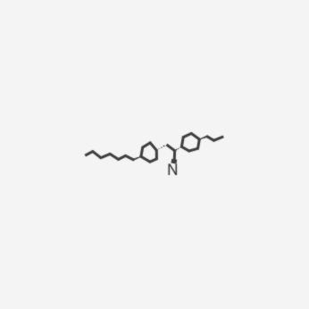 CCCCCCC[C@H]1CC[C@H](CC(C#N)[C@H]2CC[C@H](CCC)CC2)CC1